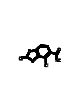 [C-]#[N+]C(=O)c1ccc2c(c1Cl)OC(Cl)O2